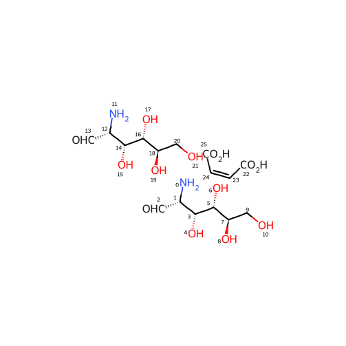 N[C@@H](C=O)[C@@H](O)[C@H](O)[C@H](O)CO.N[C@@H](C=O)[C@@H](O)[C@H](O)[C@H](O)CO.O=C(O)/C=C\C(=O)O